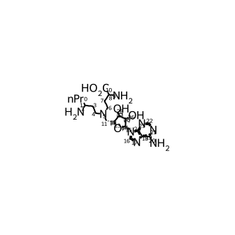 CCCC(N)CCN(CCC(N)C(=O)O)C[C@H]1O[C@@H](n2cnc3c(N)ncnc32)[C@H](O)[C@@H]1O